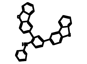 c1ccc(Nc2ccc(-c3ccc4sc5ccccc5c4c3)cc2-c2ccc3oc4ccccc4c3c2)cc1